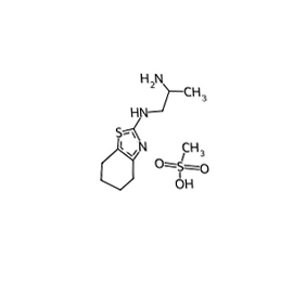 CC(N)CNc1nc2c(s1)CCCC2.CS(=O)(=O)O